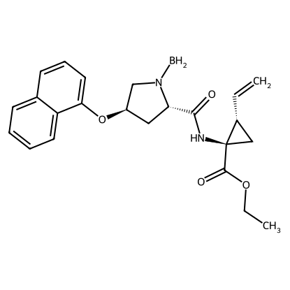 BN1C[C@H](Oc2cccc3ccccc23)C[C@H]1C(=O)N[C@]1(C(=O)OCC)C[C@H]1C=C